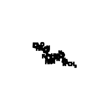 Cc1cn(-c2ccnc3[nH]c(-c4n[nH]c5cc(F)c(-c6cncc(NC(=O)C7CCCC7)c6)cc45)nc23)cn1